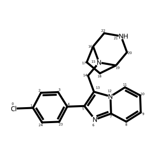 Clc1ccc(-c2nc3ccccn3c2CN2C3CCC2CNC3)cc1